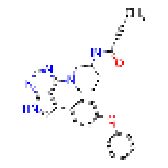 CC#CC(=O)NC1CCCN(c2ncnc3[nH]cc(-c4ccc(Oc5ccccc5)cc4)c23)C1